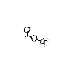 CCc1oc(-c2ccc(C(=O)c3ccccc3)cc2)nc1Cl